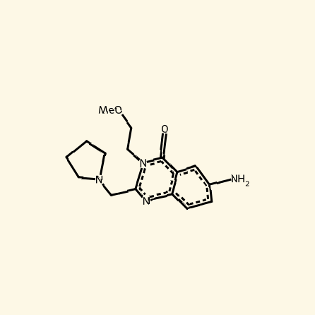 COCCn1c(CN2CCCC2)nc2ccc(N)cc2c1=O